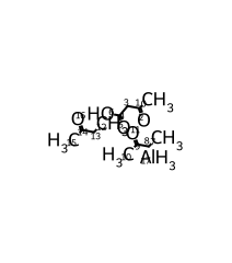 CC(=O)CC(=O)O.CCC(C)=O.CCC(C)=O.[AlH3]